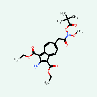 CCOC(=O)c1c2ccc(CC(=O)N(OC)OC(=O)C(C)(C)C)ccc-2c(C(=O)OCC)c1N